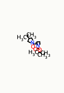 CC(C)C1CCN(C(=O)[C@H]2CCCN2C(=O)OC(C)(C)C)CC1